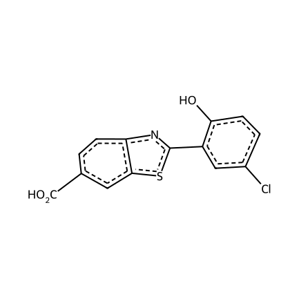 O=C(O)c1ccc2nc(-c3cc(Cl)ccc3O)sc2c1